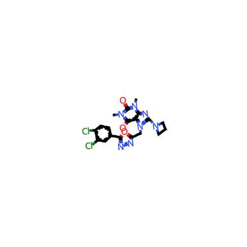 Cn1c(=O)c2c(nc(N3CCC3)n2Cc2nnc(-c3ccc(Cl)c(Cl)c3)o2)n(C)c1=O